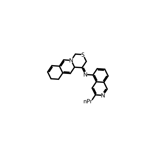 CCCc1cc2c(N=C3CSCN4C=C5C=CCCC5=CC34)cccc2cn1